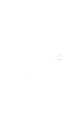 O=C(O)CCCCCCCCCCC(=O)OCOC(=O)OCc1ccccc1